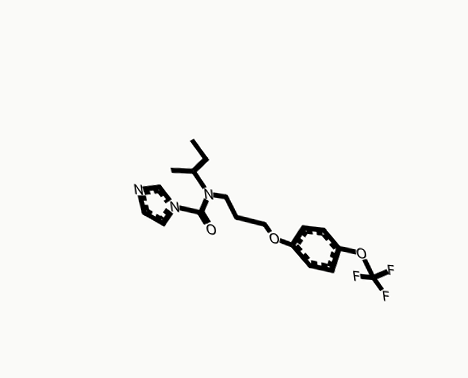 CCC(C)N(CCCOc1ccc(OC(F)(F)F)cc1)C(=O)n1ccnc1